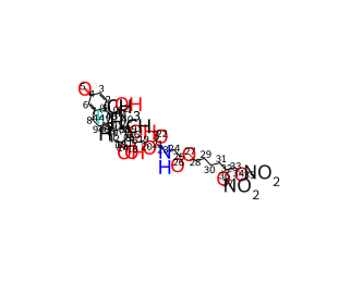 C[C@]12C=CC(=O)C=C1CC[C@H]1[C@@H]3C[C@@H](O)[C@](O)(C(=O)COC(=O)NCC(=O)OCCCCC(CO[N+](=O)[O-])O[N+](=O)[O-])[C@@]3(C)C[C@H](O)[C@@]12F